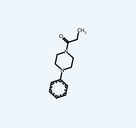 CCC(=O)N1CCN(c2cc[c]cc2)CC1